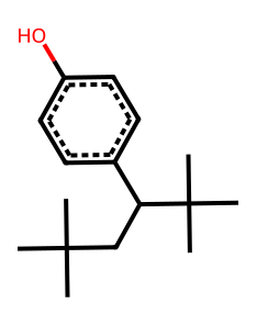 CC(C)(C)CC(c1ccc(O)cc1)C(C)(C)C